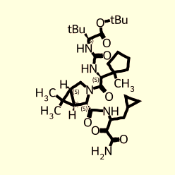 CC(C)(C)OC(=O)[C@@H](NC(=O)N[C@H](C(=O)N1C[C@H]2[C@@H]([C@H]1C(=O)NC(CC1CC1)C(=O)C(N)=O)C2(C)C)C1(C)CCCC1)C(C)(C)C